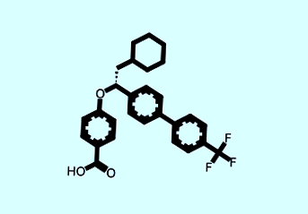 O=C(O)c1ccc(O[C@H](CC2CCCCC2)c2ccc(-c3ccc(C(F)(F)F)cc3)cc2)cc1